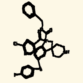 O=C(OCc1ccccc1)[N+]1(C(=O)c2ccnc(Cl)c2)CC2(CCNCC2)c2cc(Sc3ccc(F)cc3)ccc21